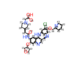 N#Cc1cnc2cc(OC3CCOC3)c(NC(=O)C=C3CCN(CC(=O)O)CC3)cc2c1Nc1ccc(OCc2ccccn2)c(Cl)c1